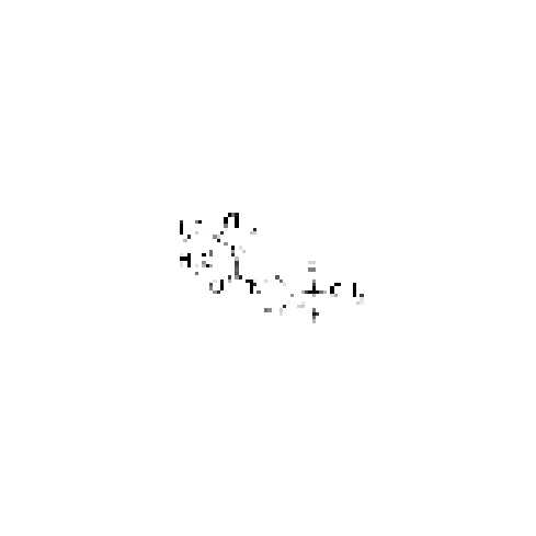 CC(C)(C)OC(=O)N1CC[C@H](C(C)(F)F)C1